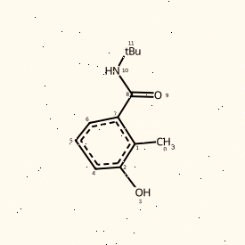 Cc1c(O)cccc1C(=O)NC(C)(C)C